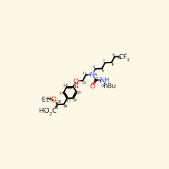 CCCCNC(=O)N(CCCCCC(F)(F)F)CCOc1ccc(CC(OCC)C(=O)O)cc1